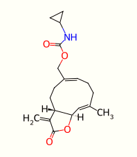 C=C1C(=O)O[C@@H]2/C=C(\C)CC/C=C(/COC(=O)NC3CC3)CC[C@@H]12